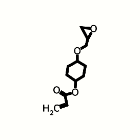 C=CC(=O)OC1CCC(OCC2CO2)CC1